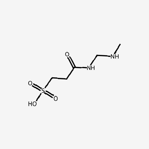 CNCNC(=O)CCS(=O)(=O)O